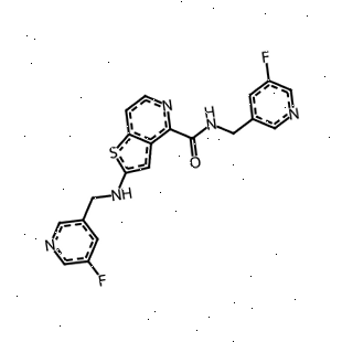 O=C(NCc1cncc(F)c1)c1nccc2sc(NCc3cncc(F)c3)cc12